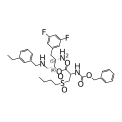 CCCCS(=O)(=O)CC(NC(=O)OCc1ccccc1)C(=O)O[C@H](CNCc1cccc(CC)c1)[C@@H](N)Cc1cc(F)cc(F)c1